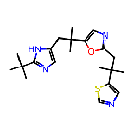 CC(C)(C)c1ncc(CC(C)(C)c2cnc(CC(C)(C)c3cncs3)o2)[nH]1